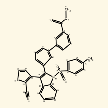 COC(=O)c1cccc(-c2cccc(-c3c(-c4ccsc4C#N)c4ccccc4n3S(=O)(=O)c3ccc(C)cc3)c2)c1